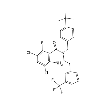 CC(C)(C)c1ccc(CN(CCc2cccc(C(F)(F)F)c2)C(=O)c2c(N)c(Cl)cc(Cl)c2F)cc1